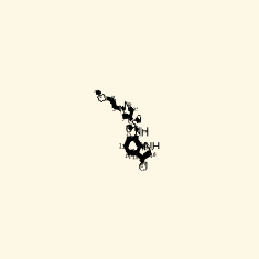 COCCn1cc(S(=O)(=O)Nc2cccc3c(Cl)c[nH]c23)cn1